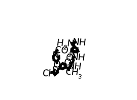 CC(NC(=O)CC(=O)Nc1ccc(C(=N)N)cc1)c1ccc(OC2CCN(CC(=O)O)CC2)c(-c2ccc(Cl)s2)c1